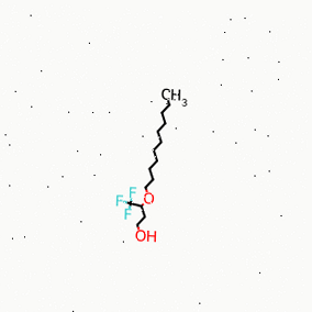 CCCCCCCCCCCOC(CCO)C(F)(F)F